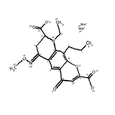 CCCc1c2c(cc3c(=O)cc(C(=O)[O-])oc13)C(=NOC)CC(C(=O)[O-])N2CC.[Na+].[Na+]